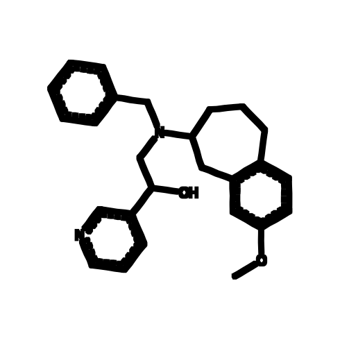 COc1ccc2c(c1)CC(N(Cc1ccccc1)CC(O)c1cccnc1)CCC2